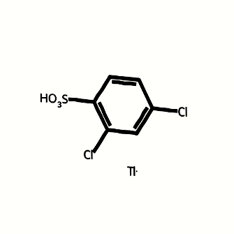 O=S(=O)(O)c1ccc(Cl)cc1Cl.[Tl]